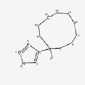 CC1(C2=C[N]P=P2)CCCCCCCCC1